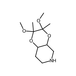 COC1(C)OC2CCNCC2OC1(C)OC